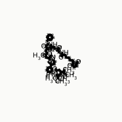 Cc1c(CCOc2c(-c3ccc4ncc(CN(C)C(=O)CNC(=O)[C@H](Cc5ccccc5)NC(=O)CNC(=O)CNC(=O)CCCCCN5C(=O)C=CC5=O)n4c3)ccc(F)c2F)c(C(O)C(C)(C)C)nn1C